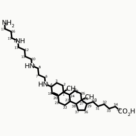 CC12CCC(NCCCNCCCCNCCCN)C=C1CCC1C2CCC2(C)C(CCCCCC(=O)O)CCC12